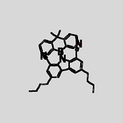 CCCCc1cc(C#N)c2c(c1)c1cc(CCCC)cc(C#N)c1n2B1c2ccccc2C(C)(C)c2ccccc21